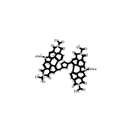 CCCCCCn1c2cc3c(=O)n(C(CC)CC)c(=O)c4ccc5c6c(CC7CCC(c8cc9c(=O)n(C(CC)CC)c(=O)c%10cc%11c%12c(c8c8ccc%13c(=O)n(C(CC)CC)c(=O)c%14cc(c%12c8c%13%14)n%11CCCCCC)c9%10)C7)cc7c(=O)n(C(CC)CC)c(=O)c8cc1c(c6c78)c2c5c43